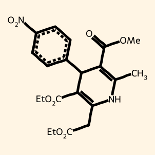 CCOC(=O)CC1=C(C(=O)OCC)C(c2ccc([N+](=O)[O-])cc2)C(C(=O)OC)=C(C)N1